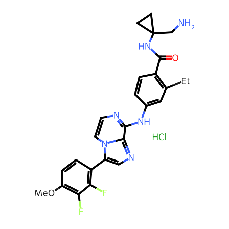 CCc1cc(Nc2nccn3c(-c4ccc(OC)c(F)c4F)cnc23)ccc1C(=O)NC1(CN)CC1.Cl